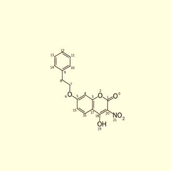 O=c1oc2cc(OCCc3ccccc3)ccc2c(O)c1[N+](=O)[O-]